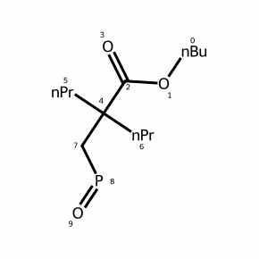 CCCCOC(=O)C(CCC)(CCC)CP=O